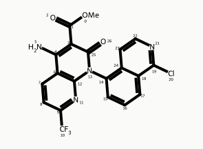 COC(=O)c1c(N)c2ccc(C(F)(F)F)nc2n(-c2cccc3c(Cl)nccc23)c1=O